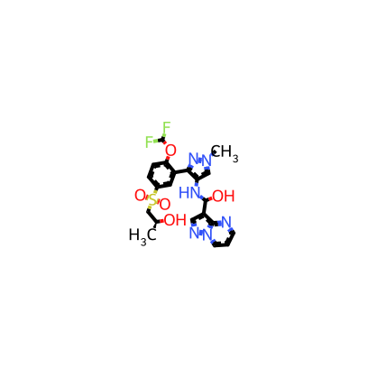 C[C@H](O)CS(=O)(=O)c1ccc(OC(F)F)c(-c2nn(C)cc2NC(O)c2cnn3cccnc23)c1